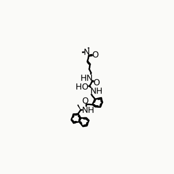 C[C@@H](NC(=O)c1ccccc1CNC(O)C(=O)NCC/C=C/C(=O)N(C)C)c1cccc2ccccc12